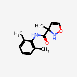 Cc1cccc(C)c1NC(=O)C1(C)C=CON1